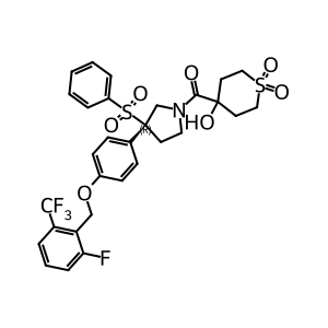 O=C(N1CC[C@](c2ccc(OCc3c(F)cccc3C(F)(F)F)cc2)(S(=O)(=O)c2ccccc2)C1)C1(O)CCS(=O)(=O)CC1